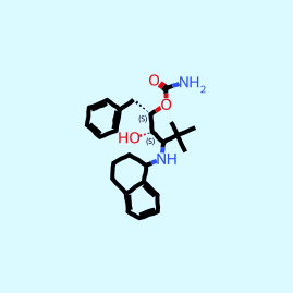 CC(C)(C)C(NC1CCCc2ccccc21)[C@H](O)[C@H](Cc1ccccc1)OC(N)=O